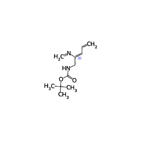 C=C/C=C(/CNC(=O)OC(C)(C)C)N=C